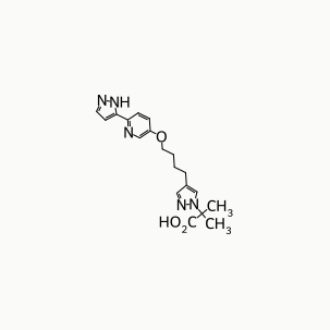 CC(C)(C(=O)O)n1cc(CCCCOc2ccc(-c3ccn[nH]3)nc2)cn1